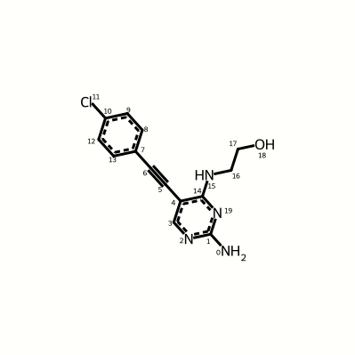 Nc1ncc(C#Cc2ccc(Cl)cc2)c(NCCO)n1